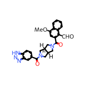 COc1cc(C(=O)N2C[C@H]3CN(C(=O)c4ccc5[nH]nnc5c4)C[C@@H]3C2)c(C=O)c2ccccc12